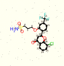 NS(=O)(=O)CCCOc1cc(C(F)(F)F)ccc1-c1cc(=O)c2cccc(Cl)c2o1